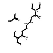 CC(=O)O.CCN(CC)C(O)CCOCCC(O)N(CC)CC